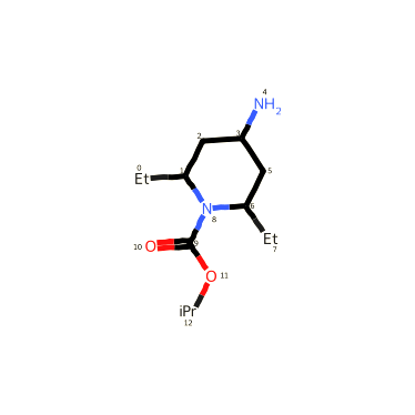 CCC1CC(N)CC(CC)N1C(=O)OC(C)C